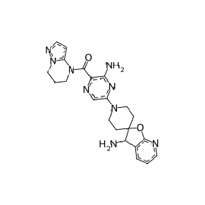 Nc1nc(N2CCC3(CC2)Oc2ncccc2C3N)cnc1C(=O)N1CCCn2nccc21